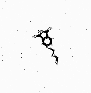 CCOC=O.O=C1NC(=O)c2ccccc21